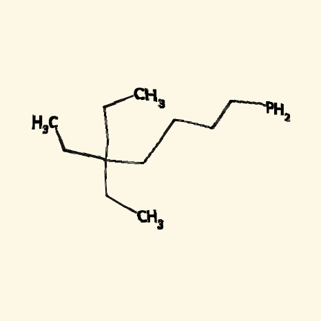 CCC(CC)(CC)CCCCP